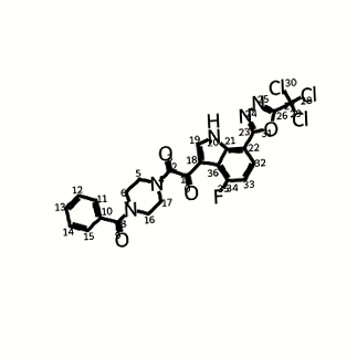 O=C(C(=O)N1CCN(C(=O)c2ccccc2)CC1)c1c[nH]c2c(-c3nnc(C(Cl)(Cl)Cl)o3)ccc(F)c12